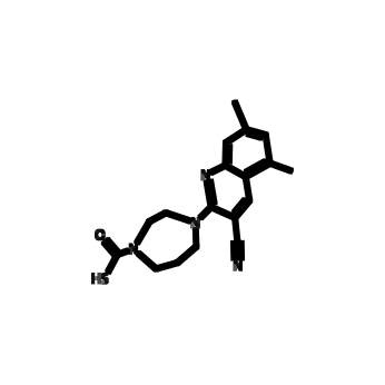 Cc1cc(C)c2cc(C#N)c(N3CCCN(C(=O)S)CC3)nc2c1